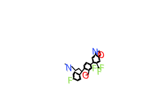 CN(C)CCCC1(c2ccc(F)cc2)OCc2cc(-c3cc4ncoc4cc3C(F)(F)F)ccc21